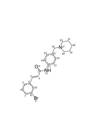 O=C(/C=C/c1cccc(Br)c1)Nc1ccc(CN2CCCCC2)cc1